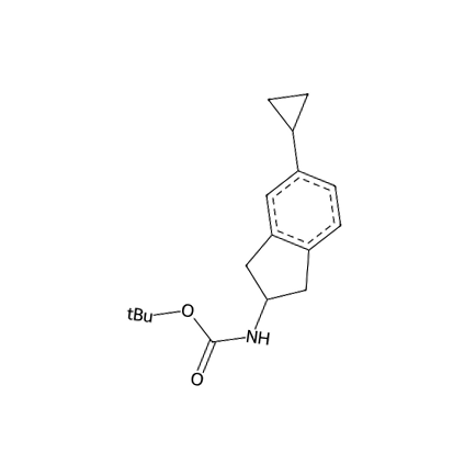 CC(C)(C)OC(=O)NC1Cc2ccc(C3CC3)cc2C1